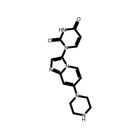 O=c1ccn(-c2cnc3cc(N4CCNCC4)ccn23)c(=O)[nH]1